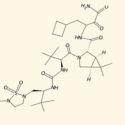 CC(=O)N1CCN(C[C@@H](NC(=O)N[C@H](C(=O)N2C[C@H]3[C@@H]([C@H]2C(=O)NC(CC2CCC2)C(=O)C(N)=O)C3(C)C)C(C)(C)C)C(C)(C)C)S1(=O)=O